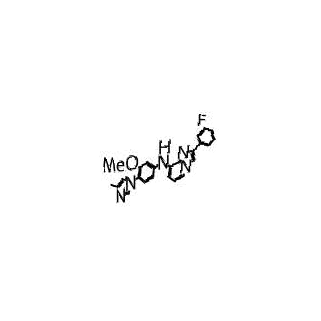 COc1cc(Nc2cccn3cc(-c4cccc(F)c4)nc23)ccc1-n1cnc(C)c1